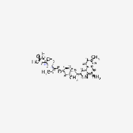 C=C/C(=C\C=C(/C)CP(=O)(O)O)COc1ccc(CCc2cnc3c(N)nc4cc(C)ccc4c3c2)c(C)c1